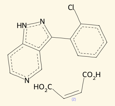 Clc1ccccc1-c1n[nH]c2ccncc12.O=C(O)/C=C\C(=O)O